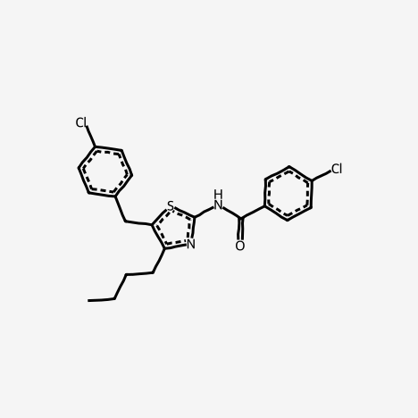 CCCCc1nc(NC(=O)c2ccc(Cl)cc2)sc1Cc1ccc(Cl)cc1